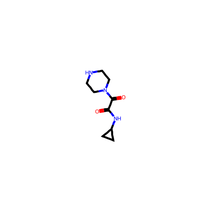 O=C(NC1CC1)C(=O)N1CCNCC1